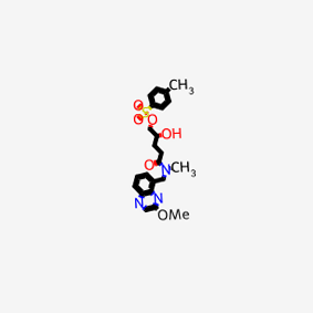 COc1cnc2cccc(CN(C)C(=O)CCC(O)COS(=O)(=O)c3ccc(C)cc3)c2n1